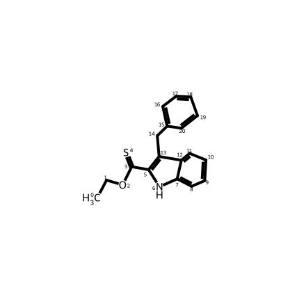 CCOC(=S)c1[nH]c2ccccc2c1Cc1ccccc1